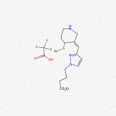 CCOC(=O)CCCn1ccc(C=C2CNCCC2SC(C)=O)n1.O=C(O)C(F)(F)F